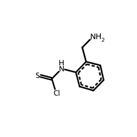 NCc1ccccc1NC(=S)Cl